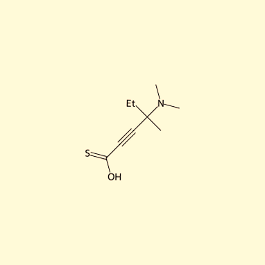 CCC(C)(C#CC(O)=S)N(C)C